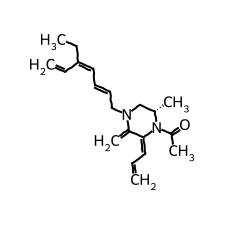 C=C/C=C1\C(=C)N(C/C=C/C=C(\C=C)CC)C[C@H](C)N1C(C)=O